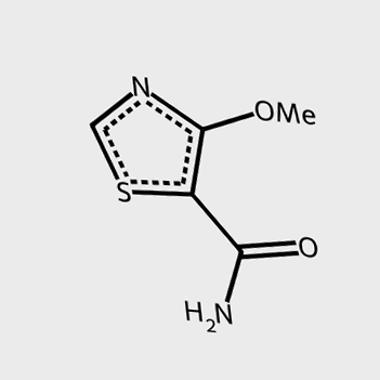 COc1ncsc1C(N)=O